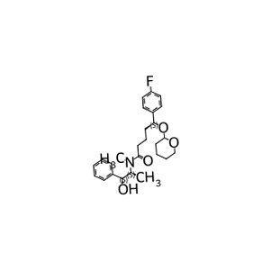 C[C@@H]([C@@H](O)c1ccccc1)N(C)C(=O)CCC[C@H](OC1CCCCO1)c1ccc(F)cc1